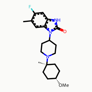 CO[C@H]1CC[C@](C)(N2CCC(n3c(=O)[nH]c4cc(F)c(C)cc43)CC2)CC1